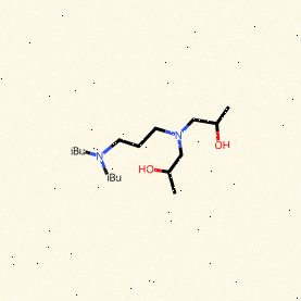 CCC(C)N(CCCN(CC(C)O)CC(C)O)C(C)CC